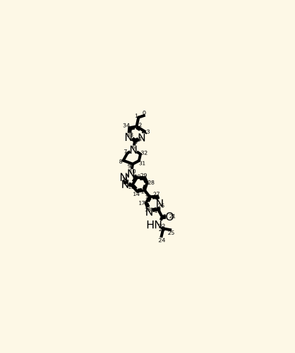 CCc1cnc(N2CCC(n3nnc4cc(-c5cnc(C(=O)NC(C)C)nc5)ccc43)CC2)nc1